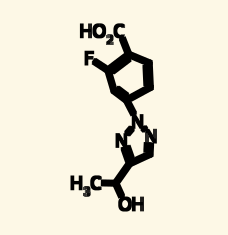 CC(O)c1cnn(-c2ccc(C(=O)O)c(F)c2)n1